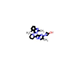 Cc1nc(N2CCCCC2c2cc3nc(N4CC(O)C4)c(C)cn3n2)c2c(C)cccc2n1